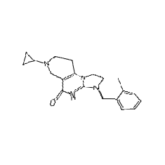 Cc1ccccc1CN1CCn2c1nc(=O)c1c2CCN(C2CC2)C1